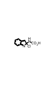 O=C(O)NC1(Cl)C=c2ccccc2=N1